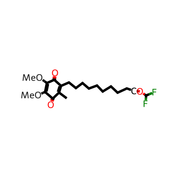 COC1=C(OC)C(=O)C(CCCCCCCCCCOC(F)F)=C(C)C1=O